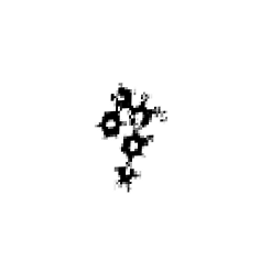 [11CH3]Oc1cn(-c2ccc(N3CC(F)(F)C3)cc2F)nc(-c2ccnn2-c2ccccc2)c1=O